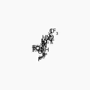 O=C(CCC(F)(F)F)NC(c1cnn2cc([C@@H](NC(=O)[C@H]3C[C@@H]3CCF)C3CCC(F)(F)CC3)nc2c1)C1CC1